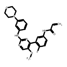 C=CC(=O)Nc1ccc(F)c(-c2nc(Nc3cccc(N4CCOCC4)c3)ncc2OC(F)(F)F)c1